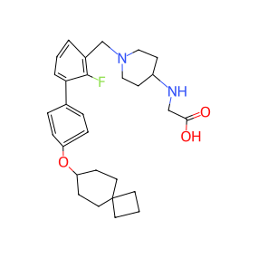 O=C(O)CNC1CCN(Cc2cccc(-c3ccc(OC4CCC5(CCC5)CC4)cc3)c2F)CC1